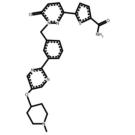 CN1CCC(Oc2cnc(-c3cccc(Cn4nc(-c5ccc(C(N)=O)s5)ccc4=O)c3)nc2)CC1